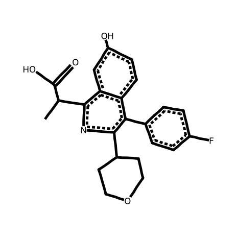 CC(C(=O)O)c1nc(C2CCOCC2)c(-c2ccc(F)cc2)c2ccc(O)cc12